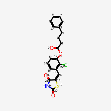 O=C(CCCc1ccccc1)Oc1cccc(C=C2SC(=O)NC2=O)c1Cl